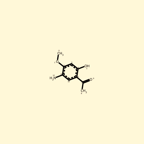 COc1cc(O)c(C(C)=O)cc1N